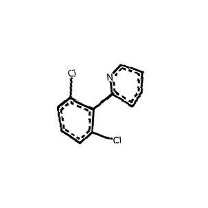 Clc1cccc(Cl)c1-c1ccccn1